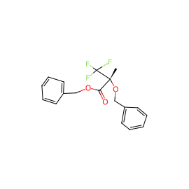 C[C@@](OCc1ccccc1)(C(=O)OCc1ccccc1)C(F)(F)F